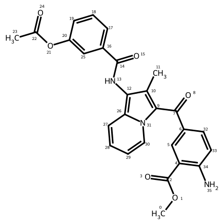 COC(=O)c1cc(C(=O)c2c(C)c(NC(=O)c3cccc(OC(C)=O)c3)c3ccccn23)ccc1N